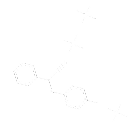 F[B-](F)(F)F.F[B-](F)(F)F.F[B-](F)(F)F.N#CC(Nc1ccc(O)cc1)c1ccccc1